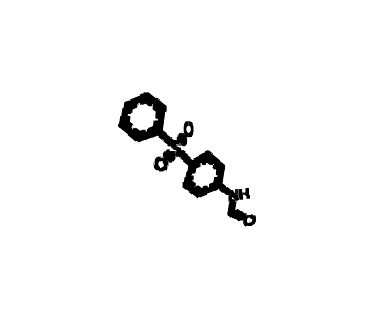 O=CNc1ccc(S(=O)(=O)c2ccccc2)cc1